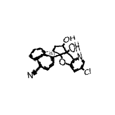 N#Cc1ccc(C23Oc4cc(Cl)cnc4C2(O)C(O)C[C@H]3c2ccccc2)cc1